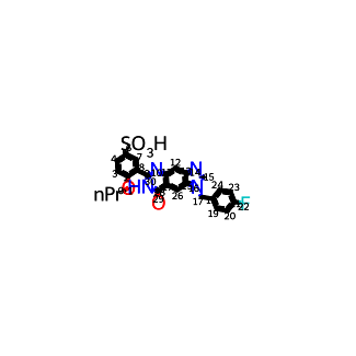 CCCOc1ccc(S(=O)(=O)O)cc1-c1nc2cc3ncn(Cc4ccc(F)cc4)c3cc2c(=O)[nH]1